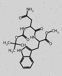 COC(=O)C(Cc1c[nH]c2ccccc12)NC(=O)C(CC(N)=O)NC(=O)OC(C)(C)C